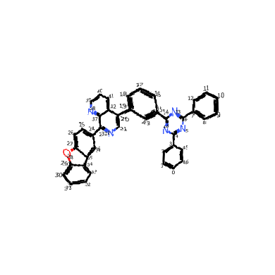 c1ccc(-c2nc(-c3ccccc3)nc(-c3cccc(-c4cnc(-c5ccc6oc7ccccc7c6c5)c5ncccc45)c3)n2)cc1